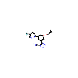 N#Cc1[nH]nnc1-c1cc(OCC2CC2)cc(-c2ccc(C(F)(F)F)cn2)c1